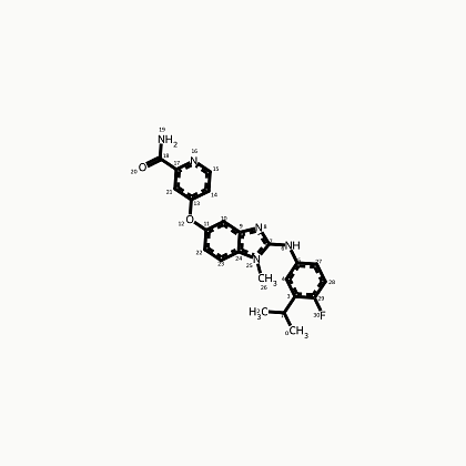 CC(C)c1cc(Nc2nc3cc(Oc4ccnc(C(N)=O)c4)ccc3n2C)ccc1F